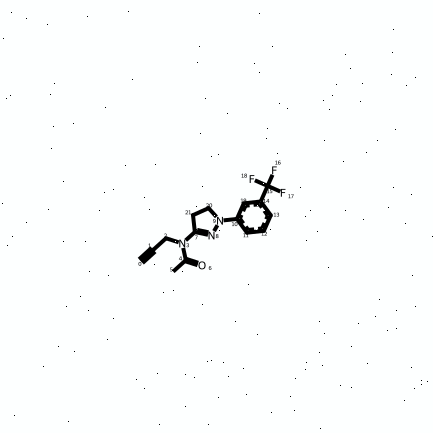 C#CCN(C(C)=O)C1=NN(c2cccc(C(F)(F)F)c2)CC1